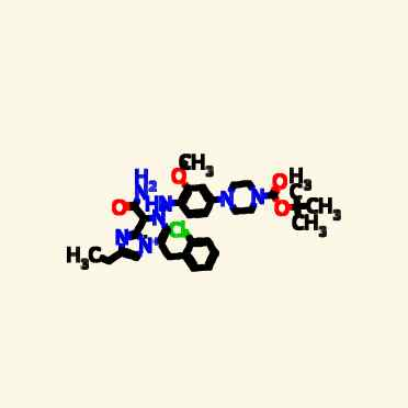 CCC1=C[N+]2C(Cc3ccccc3Cl)=CN(Nc3ccc(N4CCN(C(=O)OC(C)(C)C)CC4)cc3OC)C(C(N)=O)C2=N1